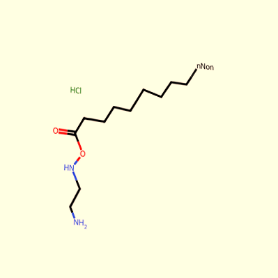 CCCCCCCCCCCCCCCCCC(=O)ONCCN.Cl